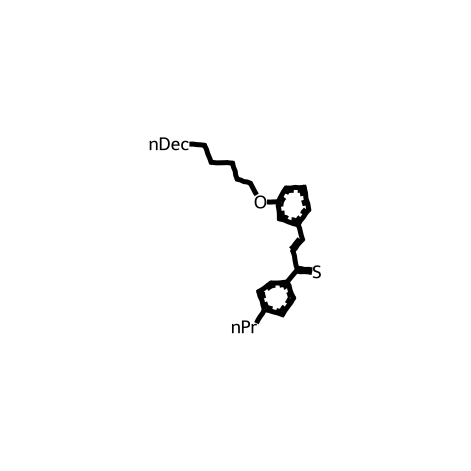 CCCCCCCCCCCCCCCOc1cccc(C=CC(=S)c2ccc(CCC)cc2)c1